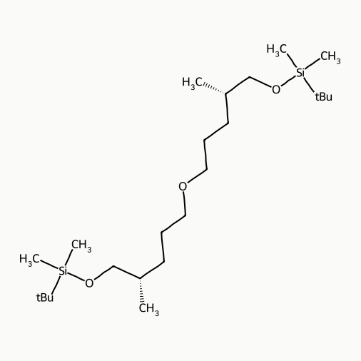 C[C@@H](CCCOCCC[C@H](C)CO[Si](C)(C)C(C)(C)C)CO[Si](C)(C)C(C)(C)C